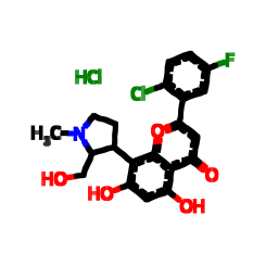 CN1CCC(c2c(O)cc(O)c3c(=O)cc(-c4cc(F)ccc4Cl)oc23)C1CO.Cl